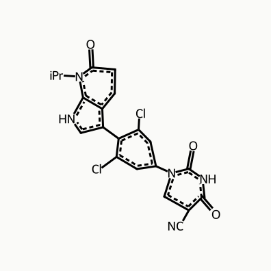 CC(C)n1c(=O)ccc2c(-c3c(Cl)cc(-n4cc(C#N)c(=O)[nH]c4=O)cc3Cl)c[nH]c21